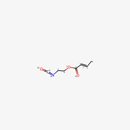 C/C=C/C(=O)OCCN=C=O